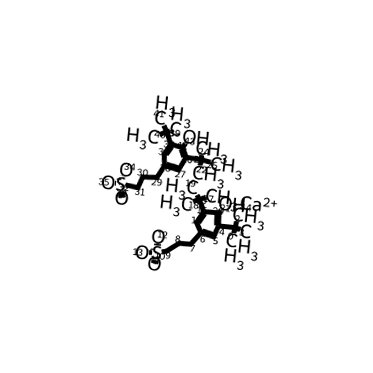 CC(C)(C)c1cc(CCCS(=O)(=O)[O-])cc(C(C)(C)C)c1O.CC(C)(C)c1cc(CCCS(=O)(=O)[O-])cc(C(C)(C)C)c1O.[Ca+2]